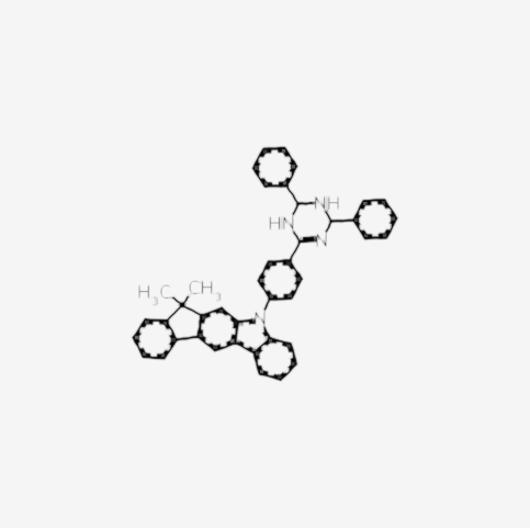 CC1(C)c2ccccc2-c2cc3c4ccccc4n(-c4ccc(C5=NC(c6ccccc6)NC(c6ccccc6)N5)cc4)c3cc21